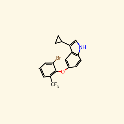 FC(F)(F)c1c[c]cc(Br)c1Oc1ccc2[nH]cc(C3CC3)c2c1